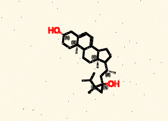 CC(C)[C@@]1(C)C[C@@]1(O)C[C@@H](C)C1CCC2C3=CC=C4C[C@@H](O)CC[C@]4(C)C3CC[C@@]21C